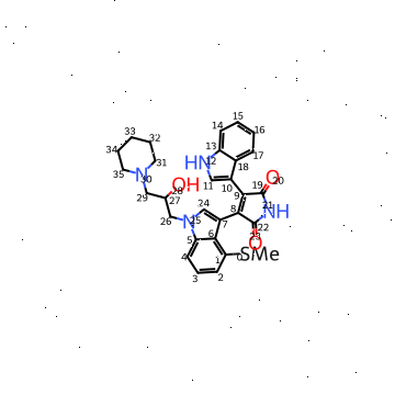 CSc1cccc2c1c(C1=C(c3c[nH]c4ccccc34)C(=O)NC1=O)cn2CC(O)CN1CCCCC1